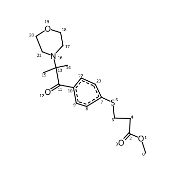 COC(=O)CCSc1ccc(C(=O)C(C)(C)N2CCOCC2)cc1